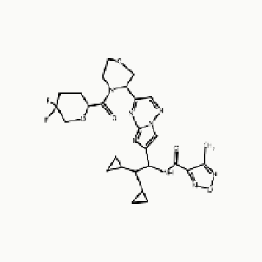 Cc1nonc1C(=O)NC(c1cn2ncc(C3COCCN3C(=O)C3CCC(F)(F)CO3)nc2n1)C(C1CC1)C1CC1